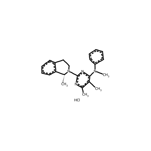 Cc1nc(N2CCc3ccccc3[C@H]2C)nc(N(C)c2ccccc2)c1C.Cl